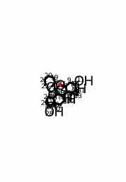 C[C@]12CC[C@H]3[C@@H](CC=C4C[C@@H](O)[C@H]5C[C@H]5[C@@]43COC3CCCCO3)[C@@H]1CC[C@@H]2O